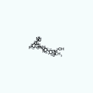 CS(=O)(=NCCO)c1ccc(-c2ccc(CNC(=O)Cn3c(-c4ncco4)cc4cc(F)ccc43)nc2)cc1